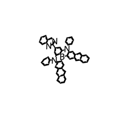 c1ccc(N2c3cc4cc5ccccc5cc4cc3B3c4cc5cc6ccccc6cc5cc4N(c4ccccc4)c4cc(-c5ncc6ccccc6n5)cc2c43)cc1